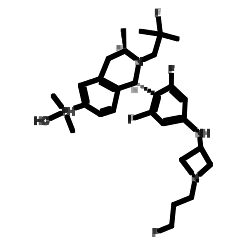 C[C@@H]1Cc2cc([PH](C)(C)O)ccc2[C@@H](c2c(F)cc(NC3CN(CCCF)C3)cc2F)N1CC(C)(C)F